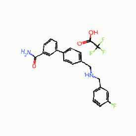 NC(=O)c1cccc(-c2ccc(CNCc3cccc(F)c3)cc2)c1.O=C(O)C(F)(F)F